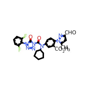 Cc1cc(C=O)nn1-c1ccc(N(C(=O)n2nnn(-c3c(F)cccc3F)c2=O)C2CCCCC2)cc1C(=O)O